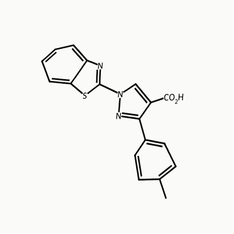 Cc1ccc(-c2nn(-c3nc4ccccc4s3)cc2C(=O)O)cc1